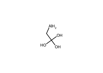 OC(O)(O)[CH2][AlH2]